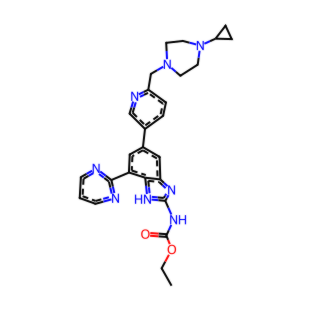 CCOC(=O)Nc1nc2cc(-c3ccc(CN4CCN(C5CC5)CC4)nc3)cc(-c3ncccn3)c2[nH]1